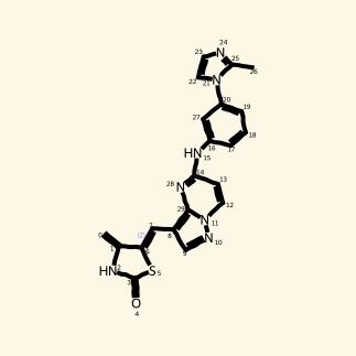 C=c1[nH]c(=O)s/c1=C\c1cnn2ccc(Nc3cccc(-n4ccnc4C)c3)nc12